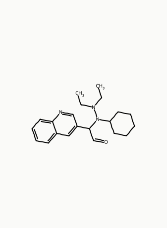 CCN(CC)N(C1CCCCC1)C(C=O)c1cnc2ccccc2c1